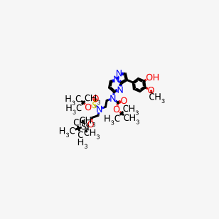 COc1ccc(-c2cnn3ccc(N(CCN(CCO[Si](C)(C)C(C)(C)C)S(=O)OC(C)(C)C)C(=O)OC(C)(C)C)nc23)cc1O